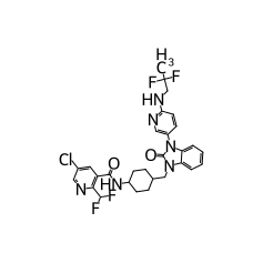 CC(F)(F)CNc1ccc(-n2c(=O)n(CC3CCC(NC(=O)c4cc(Cl)cnc4C(F)F)CC3)c3ccccc32)cn1